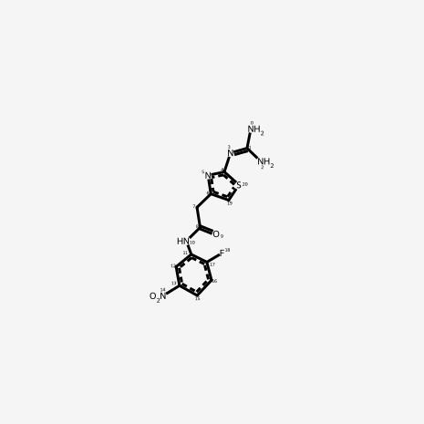 NC(N)=Nc1nc(CC(=O)Nc2cc([N+](=O)[O-])ccc2F)cs1